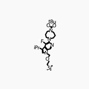 CC(C)c1cn(COCC[Si](C)(C)C)c2cnc(N3CCCN(C(=O)OC(C)(C)C)CCC3)c(F)c12